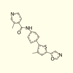 Cc1cnccc1C(=O)Nc1ccc(-c2sc(-c3cnco3)cc2C)cc1